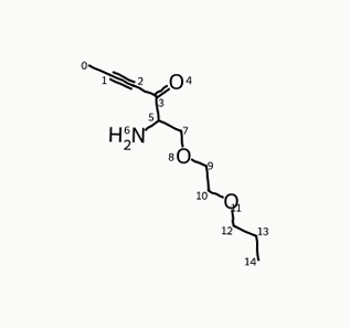 CC#CC(=O)C(N)COCCOCCC